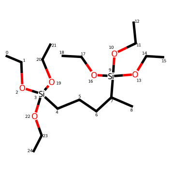 CCO[Si](CCCC(C)[Si](OCC)(OCC)OCC)(OCC)OCC